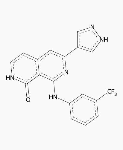 O=c1[nH]ccc2cc(-c3cn[nH]c3)nc(Nc3cccc(C(F)(F)F)c3)c12